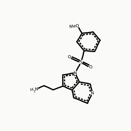 COc1cccc(S(=O)(=O)n2cc(CCN)c3ccncc32)c1